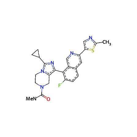 CNC(=O)N1CCn2c(C3CC3)nc(-c3c(F)ccc4cc(-c5cnc(C)s5)ncc34)c2C1